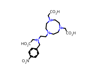 O=C(O)CN1CCN(CCN(CC(=O)O)Cc2ccc([N+](=O)[O-])cc2)CCN(CC(=O)O)CC1